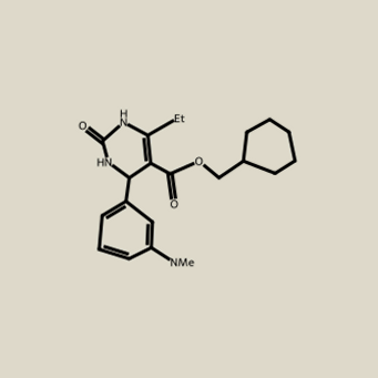 CCC1=C(C(=O)OCC2CCCCC2)C(c2cccc(NC)c2)NC(=O)N1